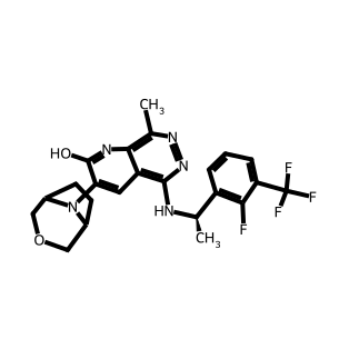 Cc1nnc(N[C@H](C)c2cccc(C(F)(F)F)c2F)c2cc(N3C4CCC3COC4)c(O)nc12